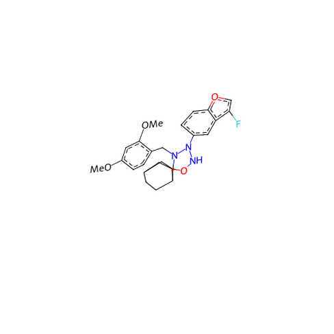 COc1ccc(CN2N(c3ccc4occ(F)c4c3)NOC23CC2CCC3CC2)c(OC)c1